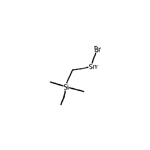 C[Si](C)(C)[CH2][Sn][Br]